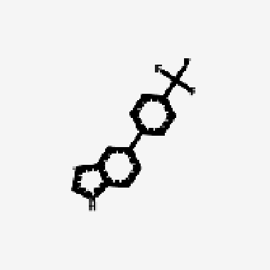 FC(F)(F)c1ccc(-c2ccc3[nH]c[c]c3c2)cc1